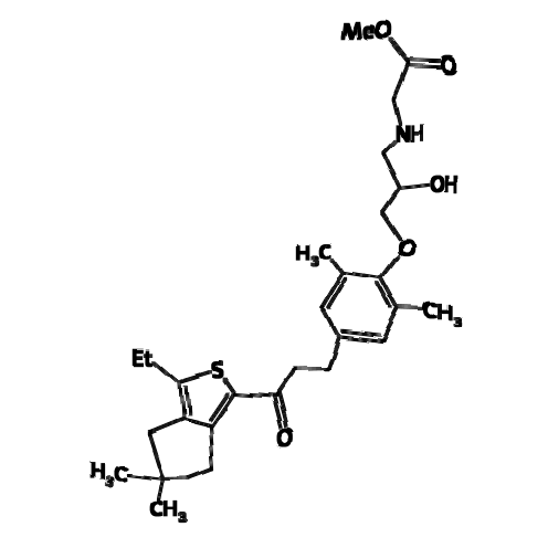 CCc1sc(C(=O)CCc2cc(C)c(OCC(O)CNCC(=O)OC)c(C)c2)c2c1CC(C)(C)CC2